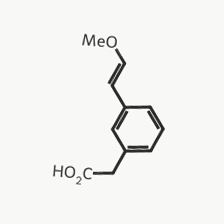 COC=Cc1cccc(CC(=O)O)c1